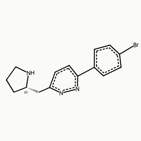 Brc1ccc(-c2ccc(C[C@@H]3CCCN3)nn2)cc1